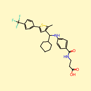 Cc1sc(-c2ccc(C(F)(F)F)cc2)cc1C(Nc1ccc(C(=O)NCCC(=O)O)cc1)C1CCCCC1